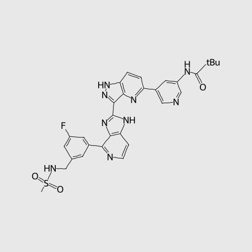 CC(C)(C)C(=O)Nc1cncc(-c2ccc3[nH]nc(-c4nc5c(-c6cc(F)cc(CNS(C)(=O)=O)c6)nccc5[nH]4)c3n2)c1